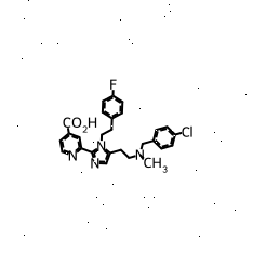 CN(CCc1cnc(-c2cc(C(=O)O)ccn2)n1CCc1ccc(F)cc1)Cc1ccc(Cl)cc1